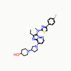 CCc1nc2c(N3CCC(N4CCC(O)CC4)C3)ccnn2c1N(C)c1nc(-c2ccc(F)cc2)cs1